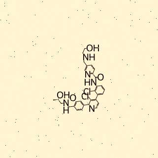 COc1cc(-c2nccc(-c3cccc(NC(=O)c4ccc(CNC[C@H](C)O)cn4)c3Cl)c2Cl)ccc1CNC[C@@H](C)O